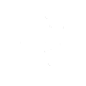 Cl.Cn1nccc1C1[C@H]2CNC[C@@H]12